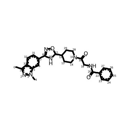 Cc1nn(C)c2cc(C3=NOC(C4CCN(C(=O)CNC(=O)c5ccccc5)CC4)N3)ccc12